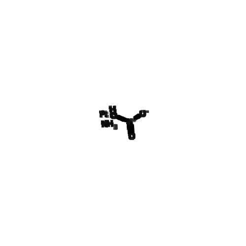 N.O=[N+]([O-])O.[Pt]